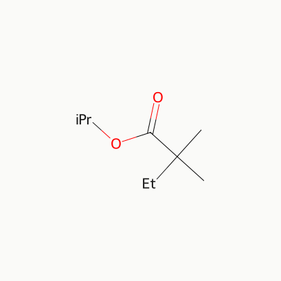 [CH2]CC(C)(C)C(=O)OC(C)C